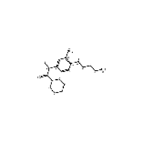 CN(C(=O)C1CCCCC1)c1ccc(NCCCO)c(N)c1